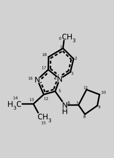 Cc1ccn2c(NC3CCCC3)c(C(C)C)nc2c1